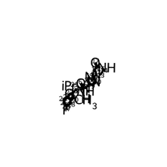 Cc1c([C@@H](NC(=O)Nc2cnc(N3CCNC(=O)C3)nc2)C(C)C)oc2ccc(F)cc12